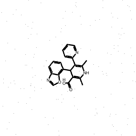 CC1=C(C(=O)O)C(c2cccc3ncoc23)C(c2ccccn2)=C(C)N1